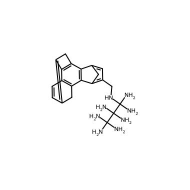 NC(N)(N)C(N)(N)C(N)(N)NCC1=C2CC(=C1)c1c2c2c3ccc(c4c3c1C4)C2